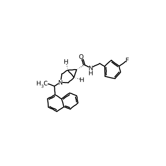 CC(c1cccc2ccccc12)N1C[C@@H]2[C@H](C1)[C@H]2C(=O)NCc1cccc(F)c1